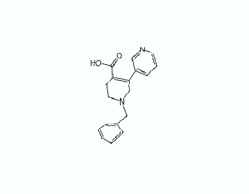 O=C(O)C1=C(c2cccnc2)CN(Cc2ccccc2)CC1